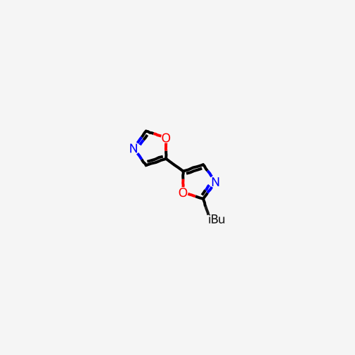 CCC(C)c1ncc(-c2cnco2)o1